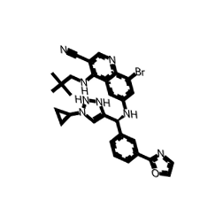 CC(C)(C)CNc1c(C#N)cnc2c(Br)cc(N[C@H](C3=CN(C4CC4)NN3)c3cccc(-c4ncco4)c3)cc12